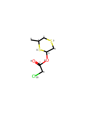 CC1CSCC(OC(=O)CCl)S1